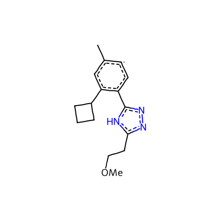 COCCc1nnc(-c2c[c]c(C)cc2C2CCC2)[nH]1